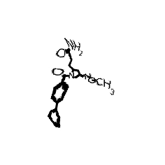 CON=C1CC(CCC(N)=O)N(C(=O)c2ccc(-c3ccccc3)cc2)C1